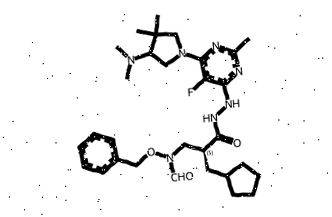 Cc1nc(NNC(=O)[C@@H](CC2CCCC2)CN(C=O)OCc2ccccc2)c(F)c(N2CC(N(C)C)C(C)(C)C2)n1